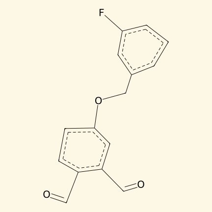 O=Cc1ccc(OCc2cccc(F)c2)cc1C=O